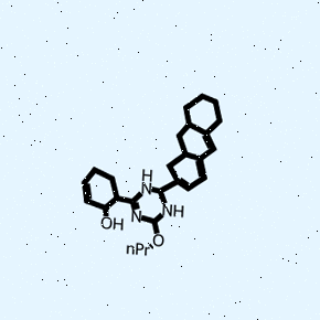 CCCOC1N=C(C2CCC=CC2O)NC(C2=CC=C3C=C4CCCCC4CC3C2)N1